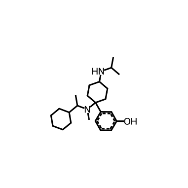 CC(C)NC1CCC(c2cccc(O)c2)(N(C)C(C)C2CCCCC2)CC1